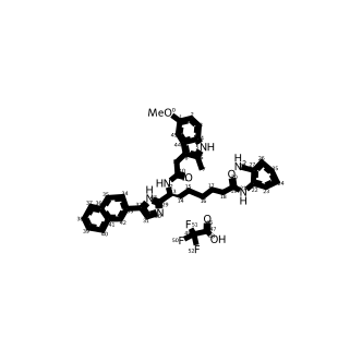 COc1ccc2[nH]c(C)c(CC(=O)N[C@@H](CCCCCC(=O)Nc3ccccc3N)c3ncc(-c4ccc5ccccc5c4)[nH]3)c2c1.O=C(O)C(F)(F)F